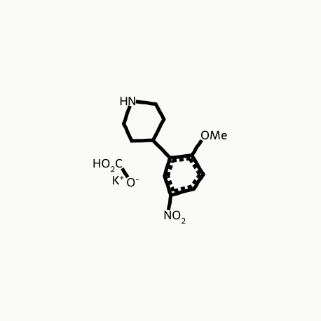 COc1ccc([N+](=O)[O-])cc1C1CCNCC1.O=C([O-])O.[K+]